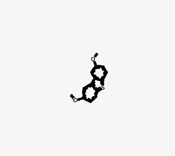 COc1ccc2sc3ccc(OC)cc3c2c1